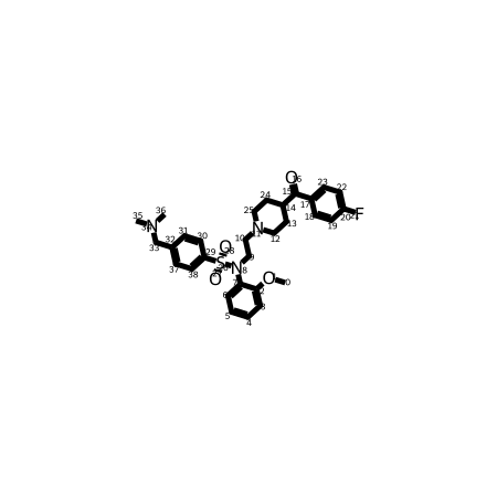 COc1ccccc1N(CCN1CCC(C(=O)c2ccc(F)cc2)CC1)S(=O)(=O)c1ccc(CN(C)C)cc1